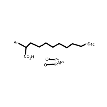 CC(C)[O-].CC(C)[O-].CCCCCCCCCCCCCCCCCCC(C(C)=O)C(=O)O.[Al+2]